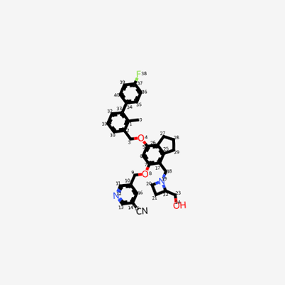 Cc1c(COc2cc(OCc3cncc(C#N)c3)c(CN3CCC3CO)c3c2CCC3)cccc1-c1ccc(F)cc1